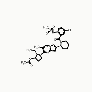 Cc1cn2nc([C@@H]3CCCCN3C(=O)c3cc(Cl)ccc3NS(C)(=O)=O)cc2nc1N1CCC(OC(=O)C(F)(F)F)[C@H]1CN